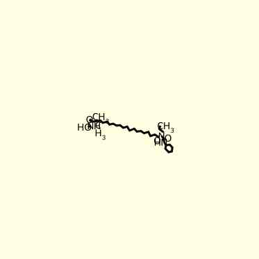 CCCN(C(=O)CCCCCCCCCCCCCCCCCC(C)(C)C(=O)NO)C(=O)NC1CCCCC1